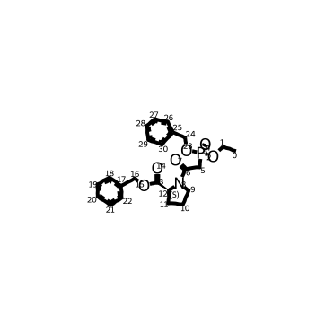 CCOP(=O)(CC(=O)N1CCC[C@H]1C(=O)OCc1ccccc1)OCc1ccccc1